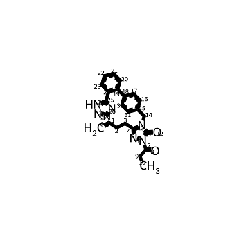 C=CCCc1nn(C(=O)CC)c(=O)n1Cc1ccc(-c2ccccc2-c2nnn[nH]2)cc1